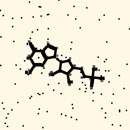 Nc1nc2c(ncn2[C@@H]2OC(COP(=O)(O)O)[C@@H](O)C2O)c(=O)[nH]1